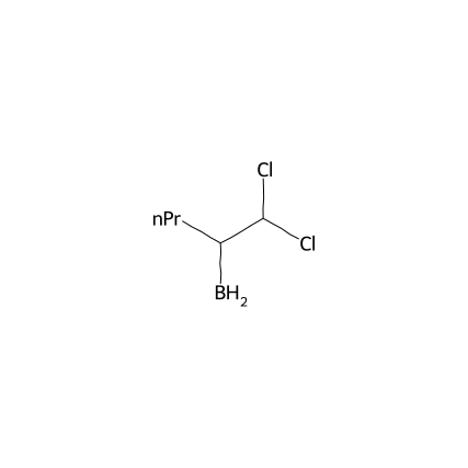 BC(CCC)C(Cl)Cl